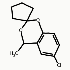 [CH2]C1OC2(CCCC2)Oc2ccc(Cl)cc21